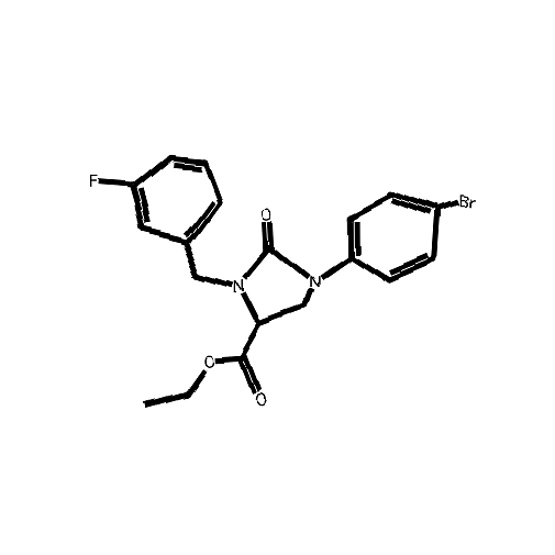 CCOC(=O)C1CN(c2ccc(Br)cc2)C(=O)N1Cc1cccc(F)c1